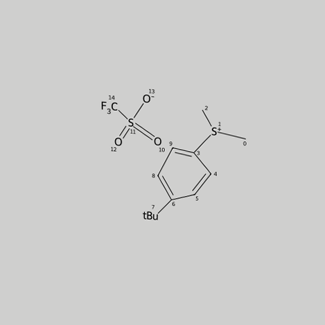 C[S+](C)c1ccc(C(C)(C)C)cc1.O=S(=O)([O-])C(F)(F)F